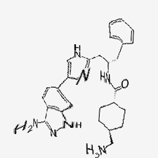 NC[C@H]1CC[C@H](C(=O)N[C@@H](Cc2ccccc2)Cc2nc(-c3ccc4c(N)n[nH]c4c3)c[nH]2)CC1